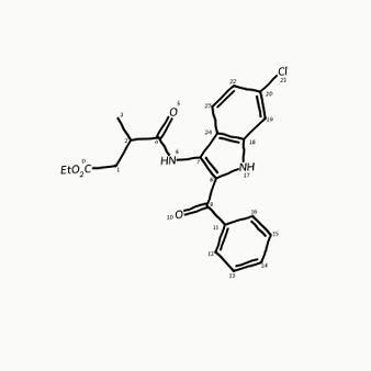 CCOC(=O)CC(C)C(=O)Nc1c(C(=O)c2ccccc2)[nH]c2cc(Cl)ccc12